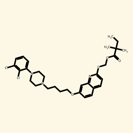 CCC(C)(C)C(=O)OCOc1ccc2ccc(OCCCCN3CCN(c4cccc(Cl)c4Cl)CC3)cc2n1